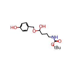 CC(C)(C)OC(=O)NCCCC(O)OCc1ccc(O)cc1